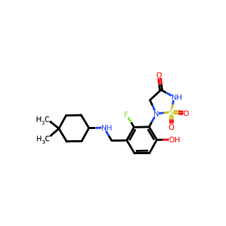 CC1(C)CCC(NCc2ccc(O)c(N3CC(=O)NS3(=O)=O)c2F)CC1